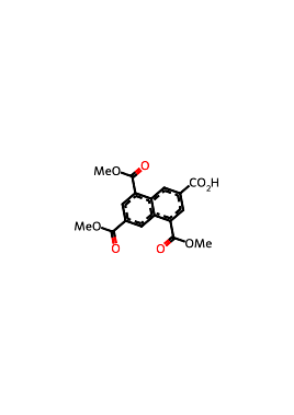 COC(=O)c1cc(C(=O)OC)c2cc(C(=O)O)cc(C(=O)OC)c2c1